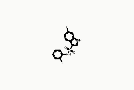 O=S(=O)(Nc1ccccc1Cl)c1c[nH]c2cc(Cl)ccc12